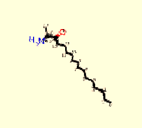 CCCCCCCCCCCCCCC(=O)[C@H](C)N